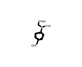 CCCCCCCCN(C=O)c1ccc(C=O)cc1